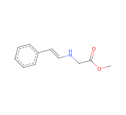 COC(=O)CNC=Cc1ccccc1